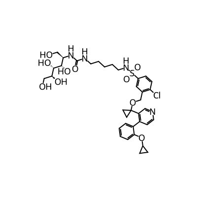 O=C(NCCCCCNS(=O)(=O)c1ccc(Cl)c(COC2(c3cnccc3-c3ccccc3OC3CC3)CC2)c1)N[C@H](CO)[C@H](O)[C@@H](O)[C@@H](O)CO